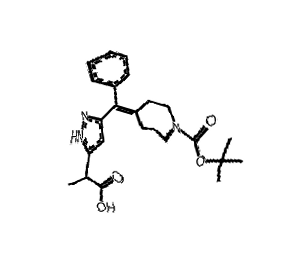 CC(C(=O)O)c1cc(C(=C2CCN(C(=O)OC(C)(C)C)CC2)c2ccccc2)n[nH]1